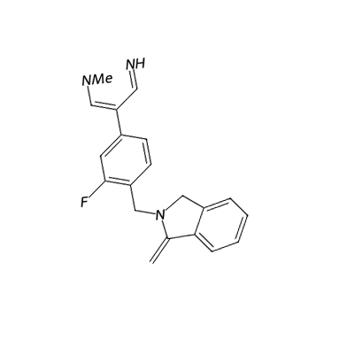 C=C1c2ccccc2CN1Cc1ccc(/C(C=N)=C/NC)cc1F